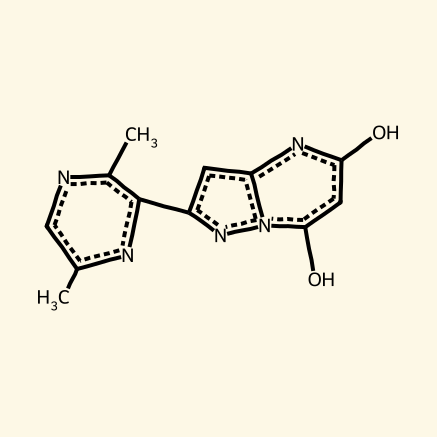 Cc1cnc(C)c(-c2cc3nc(O)cc(O)n3n2)n1